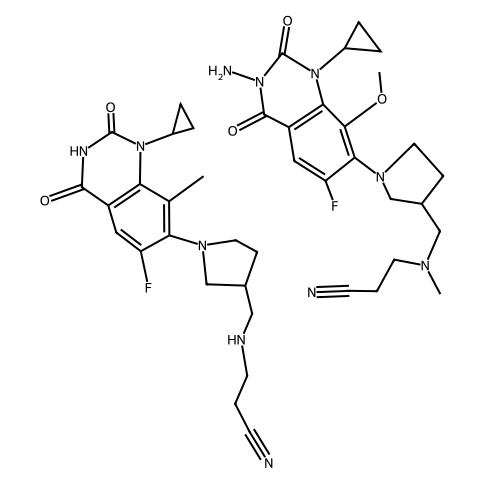 COc1c(N2CCC(CN(C)CCC#N)C2)c(F)cc2c(=O)n(N)c(=O)n(C3CC3)c12.Cc1c(N2CCC(CNCCC#N)C2)c(F)cc2c(=O)[nH]c(=O)n(C3CC3)c12